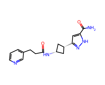 NC(=O)c1cc([C@H]2C[C@@H](NC(=O)CCc3cccnc3)C2)n[nH]1